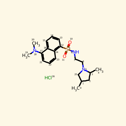 CC1CC(C)N(CCNS(=O)(=O)c2cccc3c(N(C)C)cccc23)C1.Cl